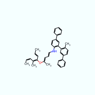 C\C=C/C(C)=C(\C=C\C)O/C(C)=C/C=C/Nc1ccc(-c2ccccc2)cc1-c1cc(-c2ccccc2)ccc1C